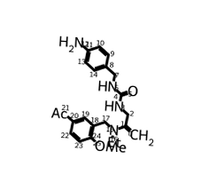 C=C(CNC(=O)NCc1ccc(N)cc1)N(CC)Cc1cc(C(C)=O)ccc1OC